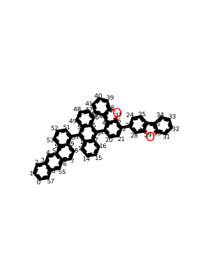 c1ccc2cc3c(ccc4c(-c5c6ccccc6c(-c6ccc(-c7ccc8c(c7)oc7ccccc78)c7oc8ccccc8c67)c6ccccc56)cccc43)cc2c1